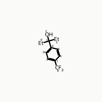 CCC(O)(CC)c1ccc(C(F)(F)F)cc1